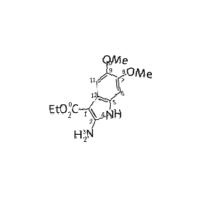 CCOC(=O)c1c(N)[nH]c2cc(OC)c(OC)cc12